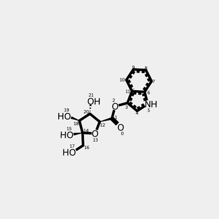 O=C(Oc1c[nH]c2ccccc12)[C@H]1O[C@](O)(CO)[C@@H](O)[C@@H]1O